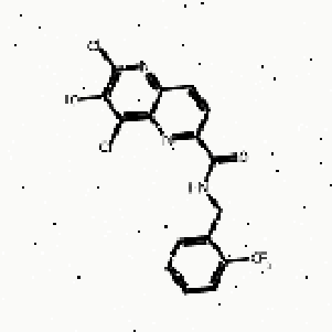 O=C(NCc1ccccc1C(F)(F)F)c1ccc2nc(Cl)c(O)c(Cl)c2n1